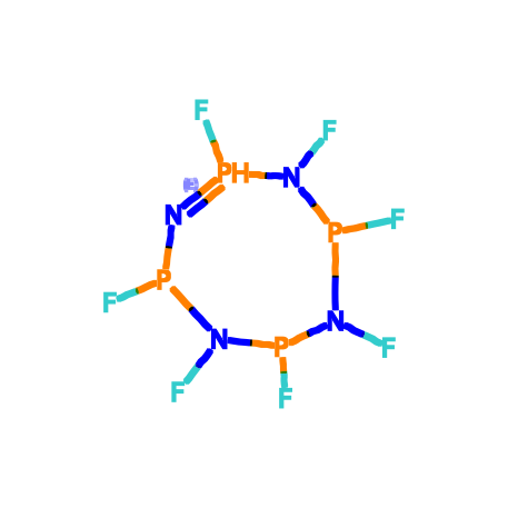 FN1P(F)/N=[PH](/F)N(F)P(F)N(F)P1F